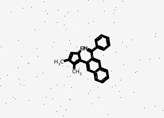 CC1=CC(C)C(c2cc3ccccc3cc2C(=N)c2ccccc2)=C1C